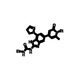 CCNC(=O)Nc1nc2cc(-c3cc(C)n(CC)c(=O)c3)cc(N3CCC=N3)c2[nH]1